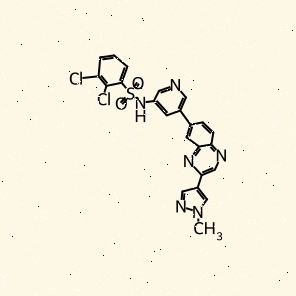 Cn1cc(-c2cnc3ccc(-c4cncc(NS(=O)(=O)c5cccc(Cl)c5Cl)c4)cc3n2)cn1